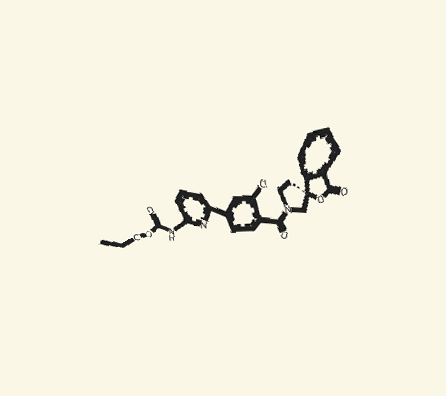 CCCOC(=O)Nc1cccc(-c2ccc(C(=O)N3CC[C@@]4(C3)OC(=O)c3ccccc34)c(Cl)c2)n1